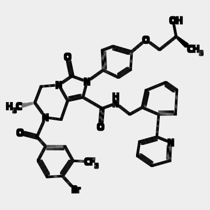 C[C@H](O)COc1ccc(-n2c(C(=O)NCc3ccccc3-c3ccccn3)c3n(c2=O)C[C@@H](C)N(C(=O)c2ccc(Br)c(C(F)(F)F)c2)C3)cc1